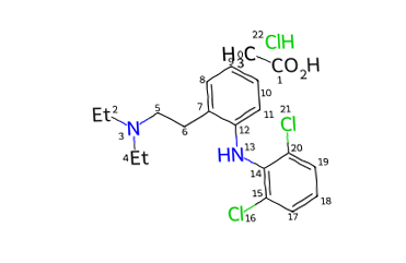 CC(=O)O.CCN(CC)CCc1ccccc1Nc1c(Cl)cccc1Cl.Cl